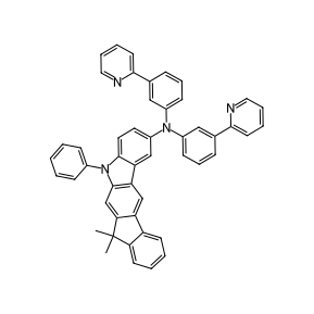 CC1(C)c2ccccc2-c2cc3c4cc(N(c5cccc(-c6ccccn6)c5)c5cccc(-c6ccccn6)c5)ccc4n(-c4ccccc4)c3cc21